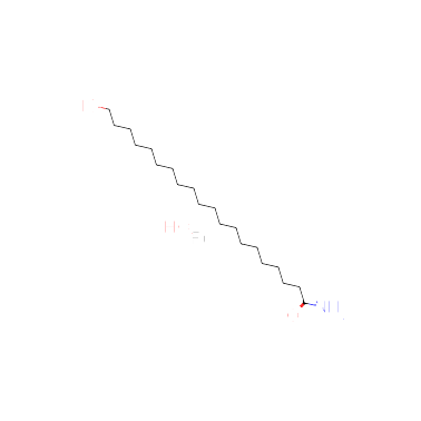 CCO.NC(=O)CCCCCCCCCCCCCCCCCCCO